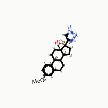 COc1ccc2c(c1)CCC1C2CC[C@@]2(C)C1CC[C@@]2(O)c1c[nH]nn1